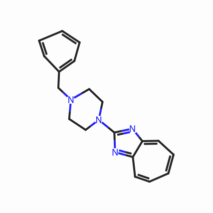 c1ccc(CN2CCN(c3nc4cccccc-4n3)CC2)cc1